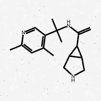 C=C(NC(C)(C)c1cnc(C)cc1C)C1C2CNCC21